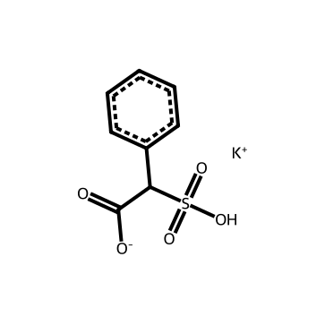 O=C([O-])C(c1ccccc1)S(=O)(=O)O.[K+]